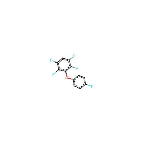 Fc1ccc(Oc2c(F)c(F)[c]c(F)c2F)cc1